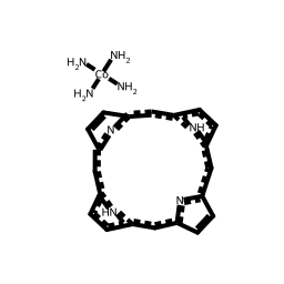 C1=Cc2cc3ccc(cc4nc(cc5ccc(cc1n2)[nH]5)C=C4)[nH]3.[NH2][Co]([NH2])([NH2])[NH2]